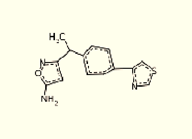 CC(c1ccc(-c2cscn2)cc1)c1cc(N)on1